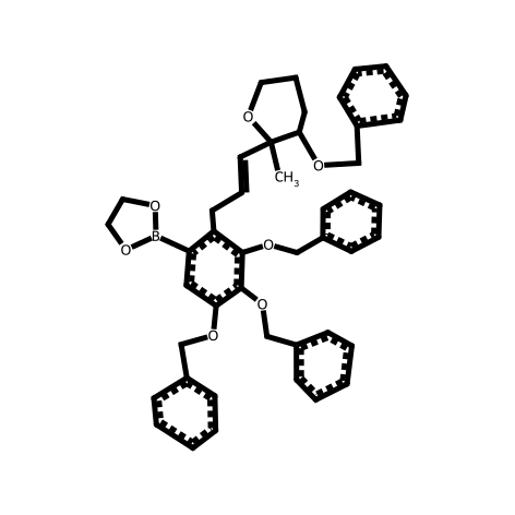 CC1(C=CCc2c(B3OCCO3)cc(OCc3ccccc3)c(OCc3ccccc3)c2OCc2ccccc2)OCCCC1OCc1ccccc1